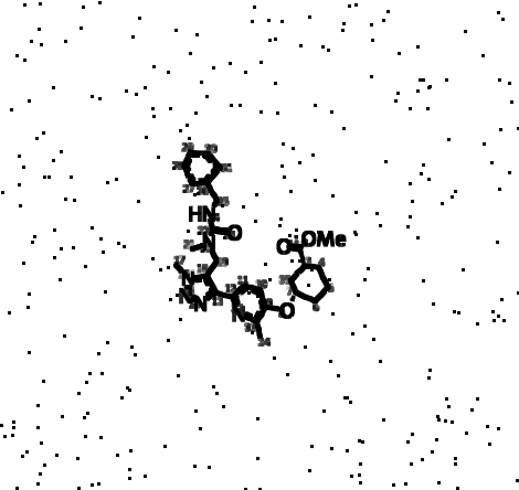 COC(=O)[C@H]1CCC[C@H](Oc2ccc(-c3nnn(C)c3CN(C)C(=O)NCc3ccccc3)nc2C)C1